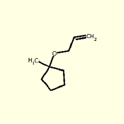 C=CCOC1(C)CCCC1